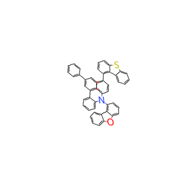 c1ccc(-c2cccc(-c3ccccc3N(c3ccc(-c4cccc5sc6ccccc6c45)cc3)c3cccc4oc5ccccc5c34)c2)cc1